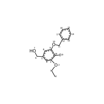 CCOc1cc(CO)cc(OCc2ccccc2)c1I